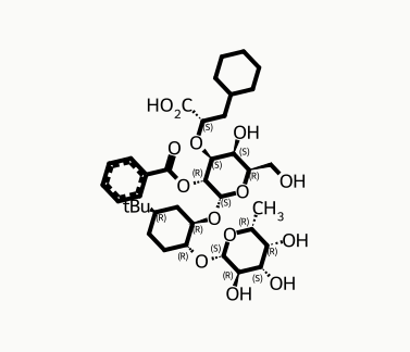 C[C@H]1O[C@@H](O[C@@H]2CC[C@@H](C(C)(C)C)C[C@H]2O[C@H]2O[C@H](CO)[C@H](O)[C@H](O[C@@H](CC3CCCCC3)C(=O)O)[C@H]2OC(=O)c2ccccc2)[C@H](O)[C@@H](O)[C@H]1O